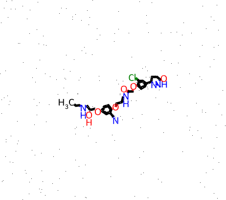 CCCNC[C@@H](O)COc1ccc(OCCCNC(=O)COc2ccc(C3=NNC(=O)CC3)cc2Cl)c(C#N)c1